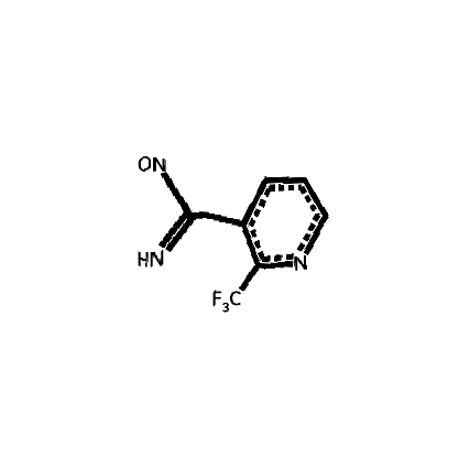 N=C(N=O)c1cccnc1C(F)(F)F